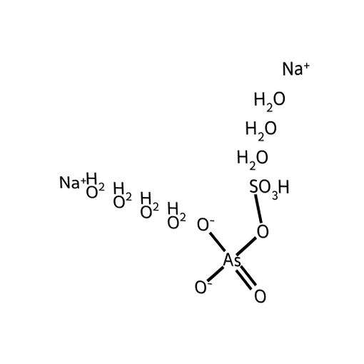 O.O.O.O.O.O.O.O=S(=O)(O)O[As](=O)([O-])[O-].[Na+].[Na+]